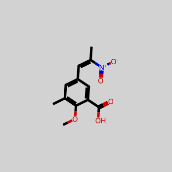 COc1c(C)cc(C=C(C)[N+](=O)[O-])cc1C(=O)O